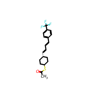 CC(=O)S[C@H]1CC[C@H](/C=C/C=C/c2ccc(C(F)(F)F)cc2)CC1